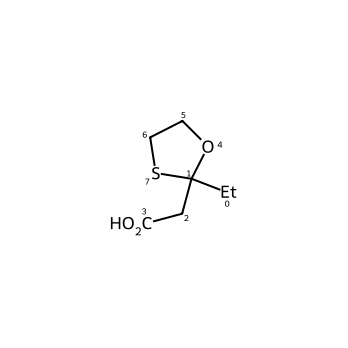 CCC1(CC(=O)O)OCCS1